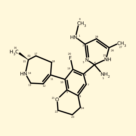 CNC1=NC(N)(c2cc3c(c(C4=CCN[C@@H](C)CC4)c2F)OCCC3)NC(C)=C1